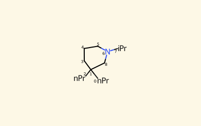 CCCC1(CCC)CCCN(C(C)C)C1